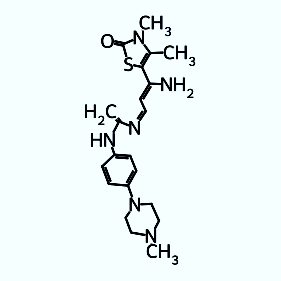 C=C(/N=C\C=C(/N)c1sc(=O)n(C)c1C)Nc1ccc(N2CCN(C)CC2)cc1